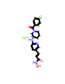 Cl.O=C(/C=C/c1ccc(N[C@@H]2CCCN(C(=O)c3ccc(Cl)cc3)C2)nc1)NO